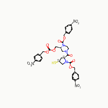 O=C(OCc1ccc([N+](=O)[O-])cc1)OCC1CN(C(=O)[C@@H]2C[C@H](S)CN2C(=O)OCc2ccc([N+](=O)[O-])cc2)CCN1C(=O)OCc1ccc([N+](=O)[O-])cc1